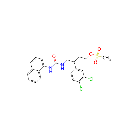 CS(=O)(=O)OCCC(CNC(=O)Nc1cccc2ccccc12)c1ccc(Cl)c(Cl)c1